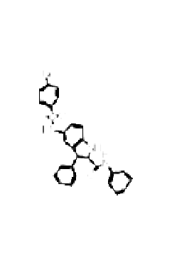 O=C(Nc1ccccc1)C1Nc2ccc(NS(=O)(=O)c3ccc(Br)cc3)cc2C1c1ccccc1